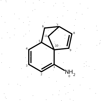 NC1=CC=CC2CC3C=CC12C3